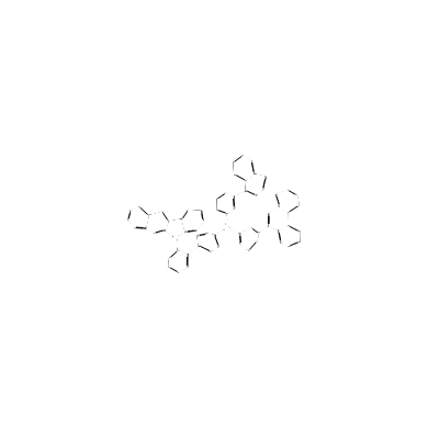 c1cc(-c2cccc3ccccc23)cc(N(c2ccc(-c3ccccc3-n3c4ccccc4c4cc5ccccc5cc43)cc2)c2cccc(-c3cc4ccccc4c4ccccc34)c2)c1